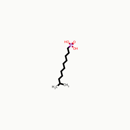 CC(C)CCCCCCCCCP(=O)(O)O